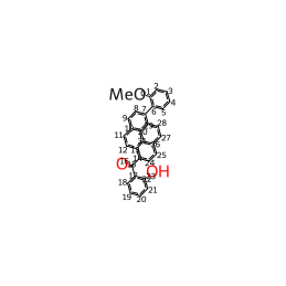 COc1ccccc1-c1ccc2ccc3c(C(=O)c4ccccc4O)ccc4ccc1c2c43